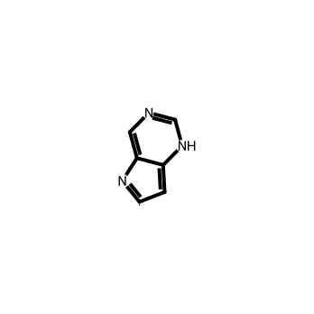 [c]1cc2[nH]cncc-2n1